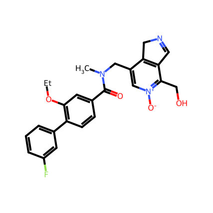 CCOc1cc(C(=O)N(C)Cc2c[n+]([O-])c(CO)c3c2CN=C3)ccc1-c1cccc(F)c1